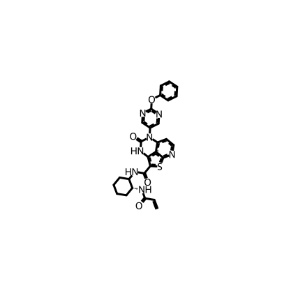 C=CC(=O)N[C@@H]1CCCCC1NC(=O)c1sc2nccc3c2c1NC(=O)N3c1cnc(Oc2ccccc2)nc1